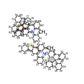 Cc1cc(-c2ccc(N(c3ccc4c(c3)C(c3ccccc3)(c3ccccc3)c3ccccc3-4)c3ccccc3-c3ccc4sc5ccccc5c4c3)c(C)c2)ccc1N(c1ccc2c(c1)C(c1ccccc1)(c1ccccc1)c1ccccc1-2)c1ccccc1-c1ccc2sc3ccccc3c2c1